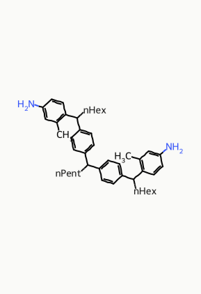 CCCCCCC(c1ccc(C(CCCCC)c2ccc(C(CCCCCC)c3ccc(N)cc3C)cc2)cc1)c1ccc(N)cc1C